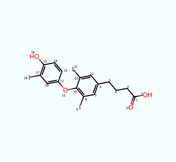 O=C(O)CCCc1cc(I)c(Oc2ccc(O)c(I)c2)c(I)c1